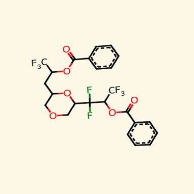 O=C(OC(CC1COCC(C(F)(F)C(OC(=O)c2ccccc2)C(F)(F)F)O1)C(F)(F)F)c1ccccc1